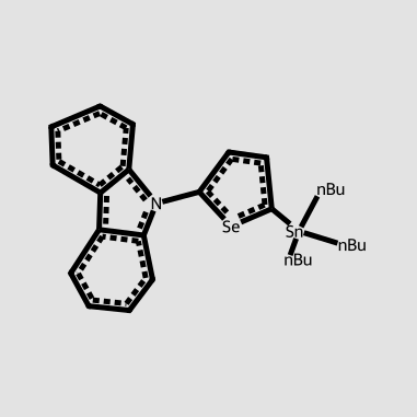 CCC[CH2][Sn]([CH2]CCC)([CH2]CCC)[c]1ccc(-n2c3ccccc3c3ccccc32)[se]1